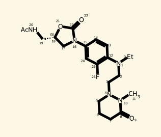 CCN(CCN1CCCC(=O)N1C)c1ccc(N2C[C@H](CNC(C)=O)OC2=O)cc1F